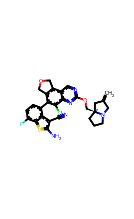 C=C1CN2CCC[C@]2(COc2ncc3c4c(c(-c5ccc(F)c6sc(N)c(C#N)c56)c(Cl)c3n2)COC4)C1